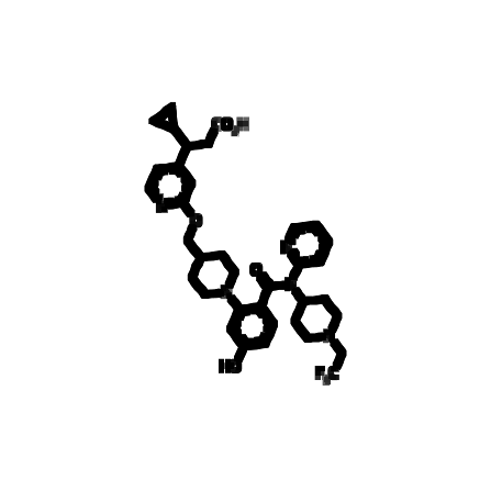 O=C(O)CC(c1ccnc(OCC2CCN(c3cc(O)ccc3C(=O)N(c3ccccn3)C3CCN(CC(F)(F)F)CC3)CC2)c1)C1CC1